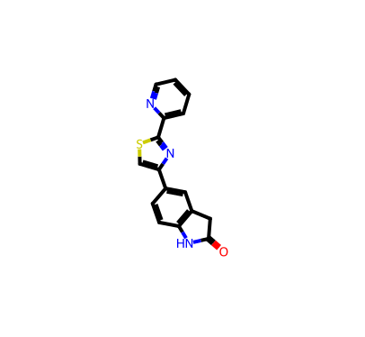 O=C1Cc2cc(-c3csc(-c4ccccn4)n3)ccc2N1